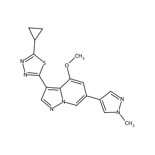 COc1cc(-c2cnn(C)c2)cn2ncc(-c3nnc(C4CC4)s3)c12